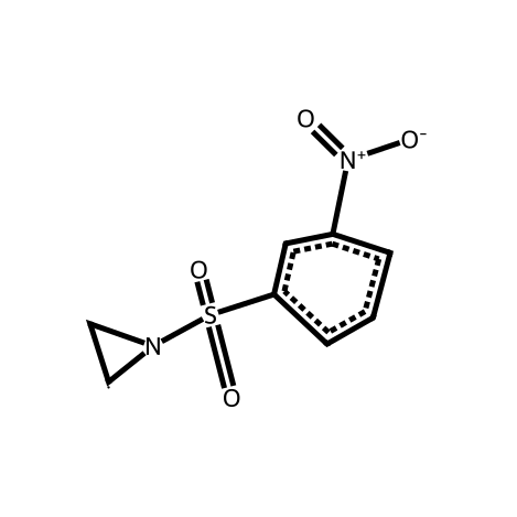 O=[N+]([O-])c1cccc(S(=O)(=O)N2[CH]C2)c1